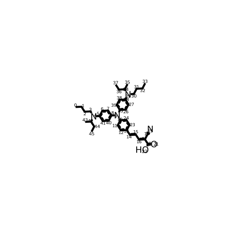 CCCCN(c1ccc(N(c2ccc(/C=C/C=C(\C#N)C(=O)O)cc2)c2ccc(N(CCCC)C(C)CC)cc2)cc1)C(C)CC